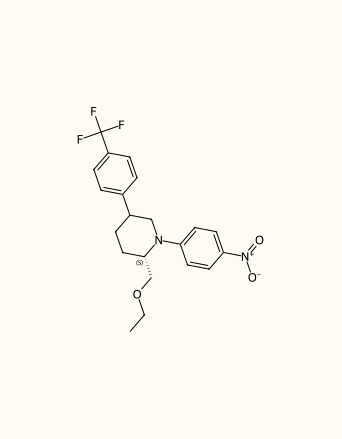 CCOC[C@@H]1CCC(c2ccc(C(F)(F)F)cc2)CN1c1ccc([N+](=O)[O-])cc1